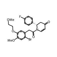 COCCOc1cc(CC(=O)N2C=CC(=O)C[C@H]2c2ccc(F)cc2)c(Br)cc1OC